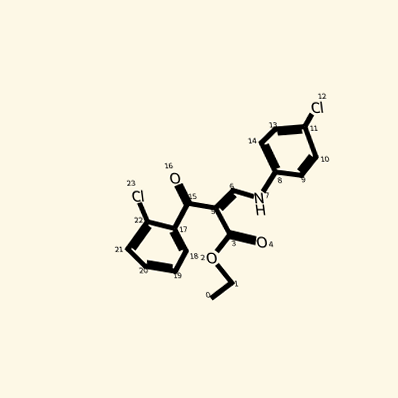 CCOC(=O)C(=CNc1ccc(Cl)cc1)C(=O)c1ccccc1Cl